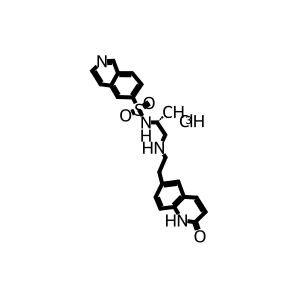 C[C@H](CNCCc1ccc2[nH]c(=O)ccc2c1)NS(=O)(=O)c1ccc2cnccc2c1.Cl